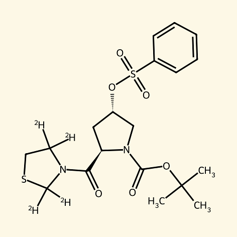 [2H]C1([2H])CSC([2H])([2H])N1C(=O)[C@H]1C[C@H](OS(=O)(=O)c2ccccc2)CN1C(=O)OC(C)(C)C